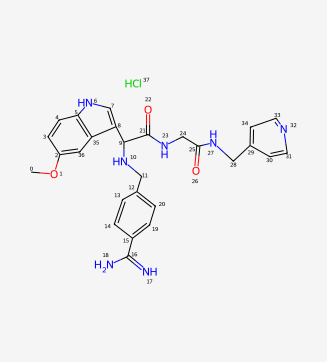 COc1ccc2[nH]cc(C(NCc3ccc(C(=N)N)cc3)C(=O)NCC(=O)NCc3ccncc3)c2c1.Cl